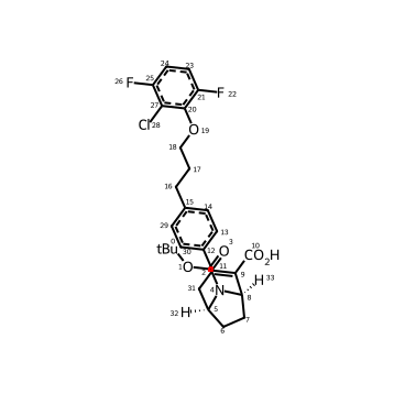 CC(C)(C)OC(=O)N1[C@H]2CC[C@@H]1C(C(=O)O)=C(c1ccc(CCCOc3c(F)ccc(F)c3Cl)cc1)C2